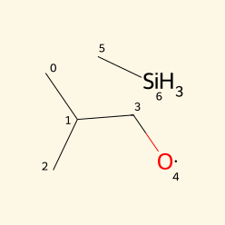 CC(C)C[O].C[SiH3]